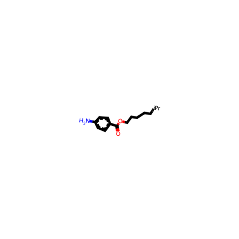 CC(C)CCCCCOC(=O)c1ccc(N)cc1